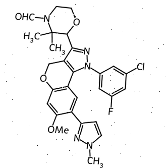 COc1cc2c(cc1-c1ccn(C)n1)-c1c(c(C3OCCN(C=O)C3(C)C)nn1-c1cc(F)cc(Cl)c1)CO2